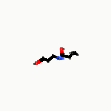 CCC(=O)NCCC=O